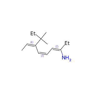 C\C=C(/C=C\C=C(/N)CC)C(C)(C)CC